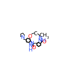 CC1CCCCOc2cc(CN3CCCC3)cc3[nH]c(=O)c(nc23)-c2cccc3c(=O)n1[nH]c23